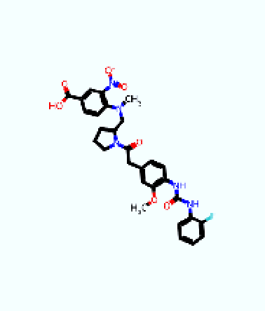 COc1cc(CC(=O)N2CCCC2CN(C)c2ccc(C(=O)O)cc2[N+](=O)[O-])ccc1NC(=O)Nc1ccccc1F